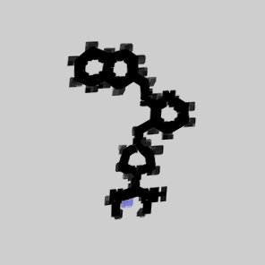 C/N=C(\NC)N1CCN(Cc2cccnc2SCc2ccc3ccccc3c2)CC1